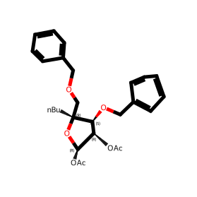 CCCC[C@]1(COCc2ccccc2)O[C@H](OC(C)=O)[C@H](OC(C)=O)[C@@H]1OCc1ccccc1